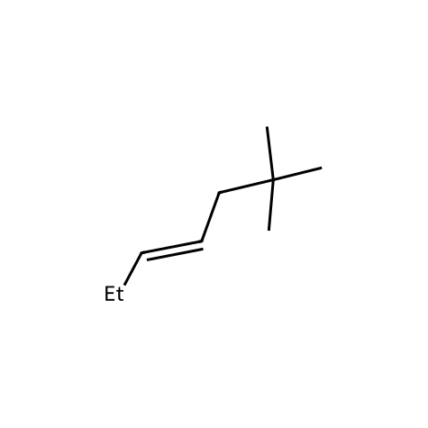 CCC=CCC(C)(C)C